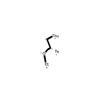 CCOCCO.[Fe]